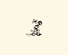 Cc1ccc(N2CCC(N)CC2)c(NC(=O)c2nc(-c3ncccc3OC(F)(F)F)cnc2N)n1